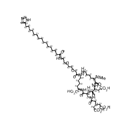 CN[C@@H](CCCCN)C(=O)N[C@@H](CC(=O)O)C(=O)N[C@@H](CNC(=O)CN(CC(=O)O)CC(=O)O)C(=O)N[C@@H](CCCCNC(=O)COCCOCCNC(=O)CCCCCCCCCCCCCCCc1nnn[nH]1)C(=O)O